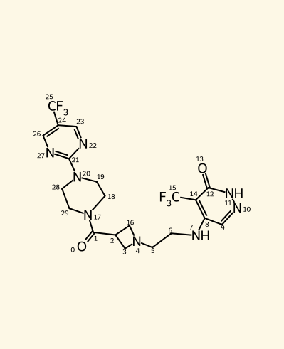 O=C(C1CN(CCNc2cn[nH]c(=O)c2C(F)(F)F)C1)N1CCN(c2ncc(C(F)(F)F)cn2)CC1